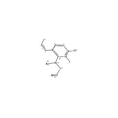 C/C=C\c1ccc(Cl)c(C)c1N(COC)C(C)=O